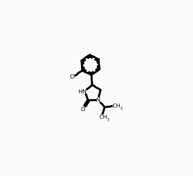 CC(C)N1CC(c2ccccc2Cl)NC1=O